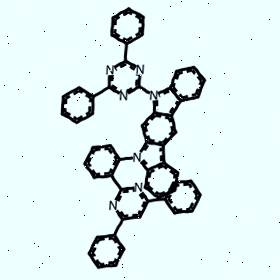 c1ccc(-c2cc(-c3ccccc3)nc(-c3ccccc3-n3c4ccccc4c4cc5c6ccccc6n(-c6nc(-c7ccccc7)nc(-c7ccccc7)n6)c5cc43)n2)cc1